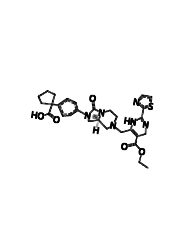 CCOC(=O)C1=C(CN2CCN3C(=O)N(c4ccc(C5(C(=O)O)CCCC5)cc4)C[C@@H]3C2)NC(c2nccs2)=NC1